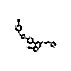 C#Cc1ccc(OC2CN(c3ccc(-c4cc(OCCn5ccnc5)cn5ncc(C#N)c45)cn3)C2)cn1